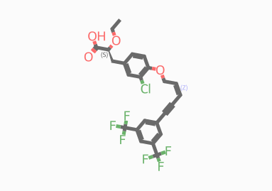 CCO[C@@H](Cc1ccc(OC/C=C\C#Cc2cc(C(F)(F)F)cc(C(F)(F)F)c2)c(Cl)c1)C(=O)O